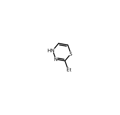 CCC1=NNC=CS1